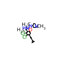 CC(NC(=O)N(C)C1CCN(C)CC1)c1ccc(C#CC2CC2)c(Cl)c1Cl